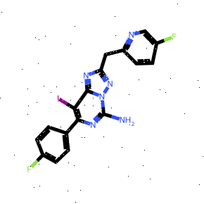 Nc1nc(-c2ccc(F)cc2)c(I)c2nc(Cc3ccc(F)cn3)nn12